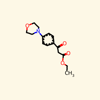 CCOC(=O)CC(=O)c1ccc(N2CCOCC2)cc1